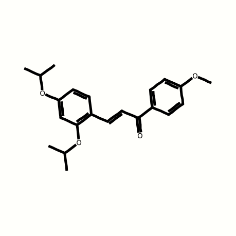 COc1ccc(C(=O)C=Cc2ccc(OC(C)C)cc2OC(C)C)cc1